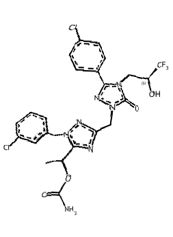 CC(OC(N)=O)c1nc(Cn2nc(-c3ccc(Cl)cc3)n(C[C@H](O)C(F)(F)F)c2=O)nn1-c1cccc(Cl)c1